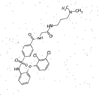 CN(C)CCCNC(=O)CNC(=O)c1ccc(S(=O)(=O)Nc2ccccc2Oc2cccc(Cl)c2Cl)cc1